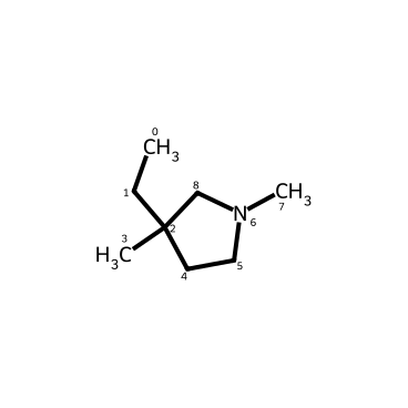 CCC1(C)CCN(C)C1